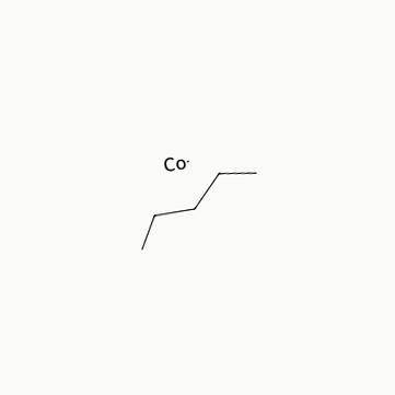 CCCCC.[Co]